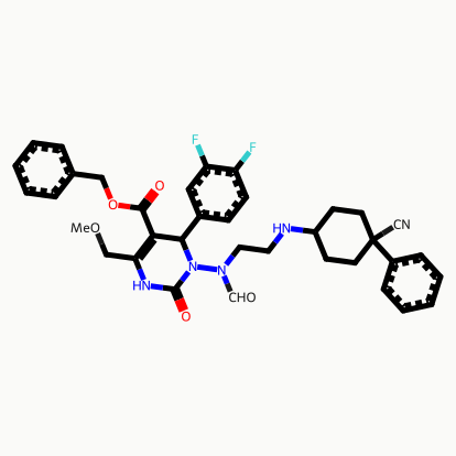 COCC1=C(C(=O)OCc2ccccc2)C(c2ccc(F)c(F)c2)N(N(C=O)CCNC2CCC(C#N)(c3ccccc3)CC2)C(=O)N1